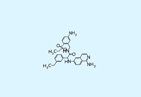 CCc1cccc(C(Nc2ccc3c(N)nccc3c2)C(=O)NCc2cc(N)ccc2S(=O)(=O)CC)c1